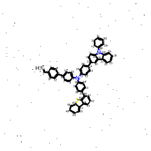 C=Cc1ccc(-c2ccc(N(c3ccc(-c4ccc5c(c4)c4ccccc4n5-c4ccccc4)cc3)c3ccc(-c4cccc5c4sc4ccccc45)cc3)cc2)cc1